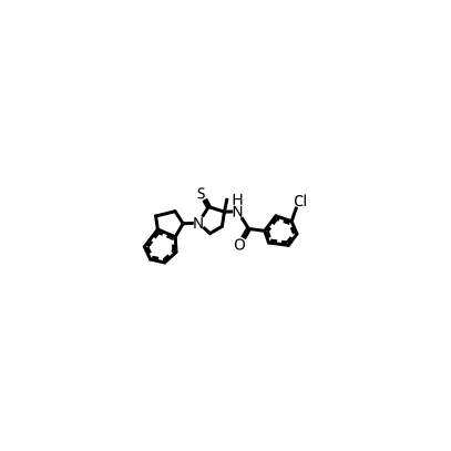 CC1(NC(=O)c2cccc(Cl)c2)CCN(C2CCc3ccccc32)C1=S